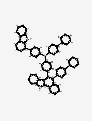 c1ccc(-c2ccc(-c3c(-c4ccc(N(c5ccc(-c6ccccc6)cc5)c5ccc(-c6cccc7c6sc6ccccc67)cc5)cc4)c4c5ccccc5sc4c4ccccc34)cc2)cc1